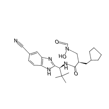 CC(C)(C)[C@H](NC(=O)[C@H](CC1CCCC1)CN(O)C=O)c1nc2cc(C#N)ccc2[nH]1